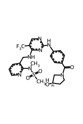 CN(c1ncccc1CNc1nc(Nc2ccc(C(=O)N3CC[C@@H](O)C3)cc2)ncc1C(F)(F)F)S(C)(=O)=O